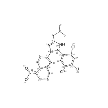 CC(C)CC1=NN(c2ccc3c([N+](=O)[O-])cccc3c2)N(c2cc(Cl)c(Cl)cc2Cl)N1